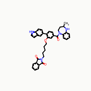 CC1CCN(C(=O)c2ccc(-c3ccc4[nH]ccc4c3)c(OCCCCCN3C(=O)c4ccccc4C3=O)c2)c2ccccc2N1